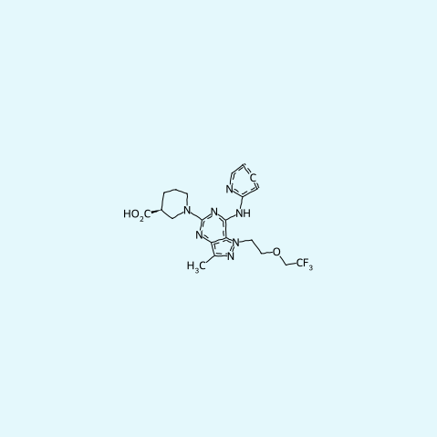 Cc1nn(CCOCC(F)(F)F)c2c(Nc3ccccn3)nc(N3CCC[C@H](C(=O)O)C3)nc12